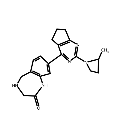 CC1CCN1c1nc2c(c(-c3ccc4c(c3)NC(=O)CNC4)n1)CCC2